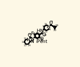 CCCC(C)Oc1cc(-n2nc3n(c2=O)CCCC3)c(F)cc1C(=O)NC1CCN(C(=O)C2CC2)CC1